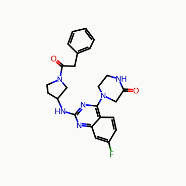 O=C1CN(c2nc(NC3CCN(C(=O)Cc4ccccc4)C3)nc3cc(F)ccc23)CCN1